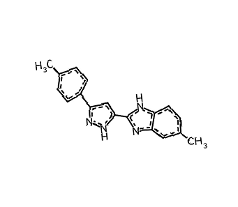 Cc1ccc(-c2cc(-c3nc4cc(C)ccc4[nH]3)[nH]n2)cc1